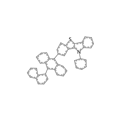 c1ccc(-n2c3ccccc3c3sc4ccc(-c5c6ccccc6c(-c6cccc7ccccc67)c6ccccc56)cc4c32)cc1